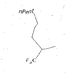 CCCCCCCC(C)C(F)(F)F